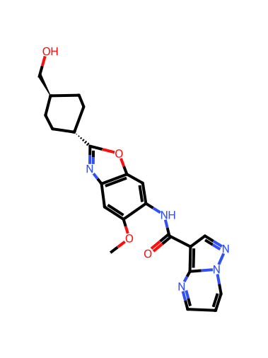 COc1cc2nc([C@H]3CC[C@H](CO)CC3)oc2cc1NC(=O)c1cnn2cccnc12